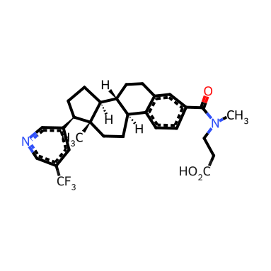 CN(CCC(=O)O)C(=O)c1ccc2c(c1)CC[C@@H]1[C@@H]2CC[C@]2(C)[C@@H](c3cncc(C(F)(F)F)c3)CC[C@@H]12